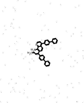 C=C/C=C(/c1ccc(-c2ccccc2)cc1)c1ccc2c(-c3ccc(-c4ccccc4)cc3)ccnc2c1N